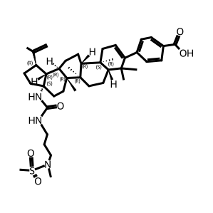 C=C(C)[C@@H]1CC[C@]2(NC(=O)NCCCN(C)S(C)(=O)=O)CC[C@]3(C)[C@H](CC[C@@H]4[C@@]5(C)CC=C(c6ccc(C(=O)O)cc6)C(C)(C)[C@@H]5CC[C@]43C)[C@@H]12